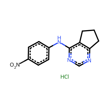 Cl.O=[N+]([O-])c1ccc(Nc2ncnc3c2CCC3)cc1